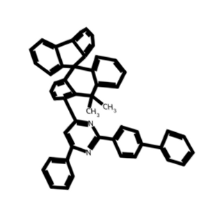 CC1(C)c2ccccc2C2(c3ccccc3-c3ccccc32)c2cccc(-c3cc(-c4ccccc4)nc(-c4ccc(-c5ccccc5)cc4)n3)c21